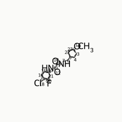 COc1ccc(CCNC(=O)C(=O)Nc2ccc(Cl)c(F)c2)cc1